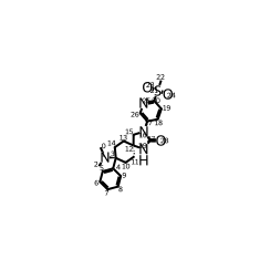 CN(C)[C@]1(c2ccccc2)CC[C@]2(CC1)CN(c1ccc(S(C)(=O)=O)nc1)C(=O)N2